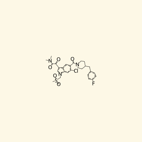 CN(C)C(=O)C(=O)c1cn(CS(C)(=O)=O)c2cc(Cl)c(C(=O)N3CCC(Cc4ccc(F)cc4)CC3)cc12